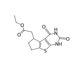 CCOC(=O)CC1CCc2sc3[nH]c(=O)[nH]c(=O)c3c21